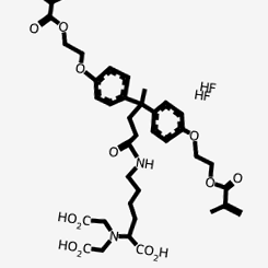 C=C(C)C(=O)OCCOc1ccc(C(C)(CCC(=O)NCCCCC(C(=O)O)N(CC(=O)O)CC(=O)O)c2ccc(OCCOC(=O)C(=C)C)cc2)cc1.F.F